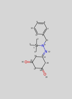 C[Si](C)(C)N(Cc1ccccc1)N=C1CC(=O)CC(=O)C1